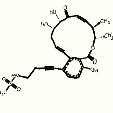 C[C@@H]1/C=C\C(=O)[C@@H](O)[C@@H](O)C/C=C/c2c(C#CCCNS(C)(=O)=O)ccc(O)c2C(=O)O[C@H]1C